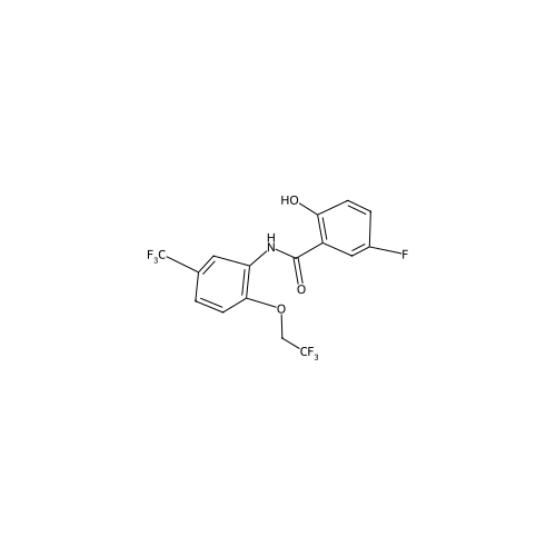 O=C(Nc1cc(C(F)(F)F)ccc1OCC(F)(F)F)c1cc(F)ccc1O